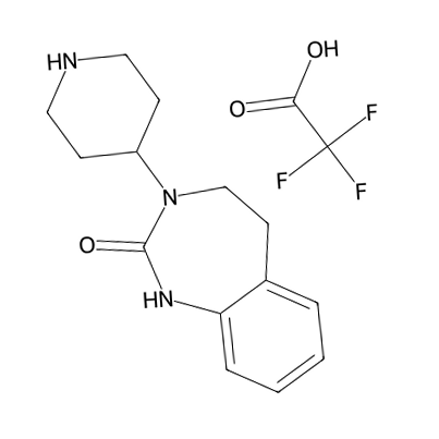 O=C(O)C(F)(F)F.O=C1Nc2ccccc2CCN1C1CCNCC1